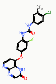 O=C(Nc1ccc(Cl)c(C(F)(F)F)c1)Nc1ccc(Oc2ccnc3ncc(=O)[nH]c23)cc1F